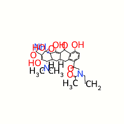 C=CCN(CC(=O)c1ccc(O)c2c1C[C@H]1C[C@H]3[C@H](N(C)C)C(O)=C(C(N)=O)C4(O)O[C@]34C(O)=C1C2=O)C(C)=O